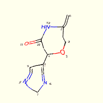 C=C1COC(C2=NCN=C2)C(=O)N1